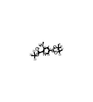 CN(C)c1cc(B2OC(C)(C)C(C)(C)O2)cnc1C(=O)OC(C)(C)C